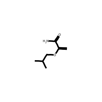 C=C(OCC(C)C)C(N)=O